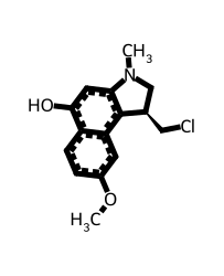 COc1ccc2c(O)cc3c(c2c1)[C@H](CCl)CN3C